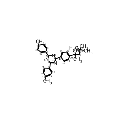 Cc1ccc(-c2nc(-c3ccc(C)cc3)nc(-c3ccc(C(C)(C)CC(C)(C)C)cc3)n2)cc1